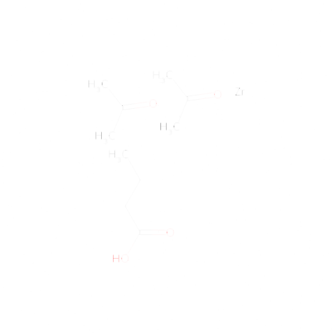 CC(C)=O.CC(C)=O.CCCC(=O)O.[Zr]